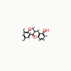 Cc1cc(C)c2c(c1)C(=O)C(Cc1ccccc1O)CO2